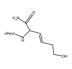 CCCCCNC(/C=C/CCO)C(N)=O